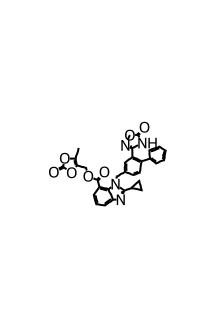 Cc1oc(=O)oc1COC(=O)c1cccc2nc(C3CC3)n(Cc3ccc(-c4ccccc4)c(-c4noc(=O)[nH]4)c3)c12